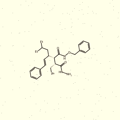 CCC(CC)CC(/C=C/c1ccccc1)[C@H](C(=O)NOCc1ccccc1)[C@@H](CC(C)C)C(=O)NN